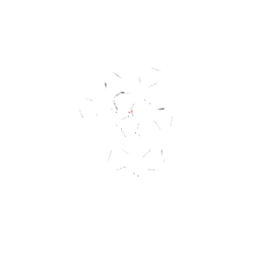 Cn1c2ccccc2c2c(-c3nc(-c4ccccc4-n4c5ccccc5c5ccccc54)nc(-n4c5ccccc5c5ccccc54)n3)cccc21